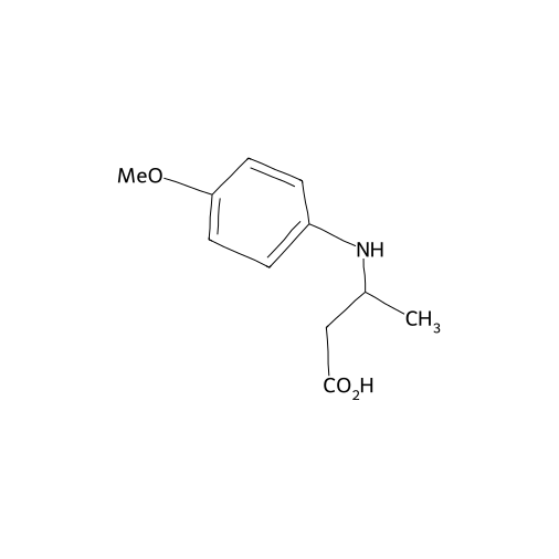 COc1ccc(NC(C)CC(=O)O)cc1